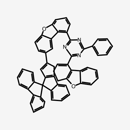 C1=C(c2ccc3oc4cccc(-c5nc(C6=CCCc7oc8ccccc8c76)nc(-c6ccccc6)n5)c4c3c2)CC2=C1C1(c3ccccc32)c2ccccc2-c2ccccc21